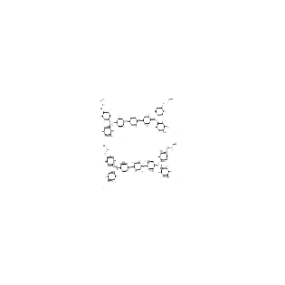 CCCCc1ccc(N(c2ccc(-c3ccc(-c4ccc(N(c5ccc(CCCC)cc5)c5cccc(C)c5)cc4)cc3)cc2)c2cccc(C)c2)cc1.CCCCc1ccc(N(c2ccc(C)cc2)c2ccc(-c3ccc(-c4ccc(N(c5ccc(C)cc5)c5ccc(CCCC)cc5)cc4)cc3)cc2)cc1